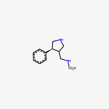 O=C(O)NCC1CNC[C@@H]1c1ccccc1